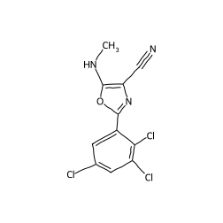 CNc1oc(-c2cc(Cl)cc(Cl)c2Cl)nc1C#N